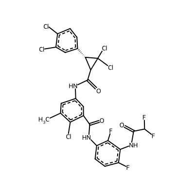 Cc1cc(NC(=O)C2[C@H](c3ccc(Cl)c(Cl)c3)C2(Cl)Cl)cc(C(=O)Nc2ccc(F)c(NC(=O)C(F)F)c2F)c1Cl